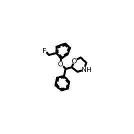 FCc1ccccc1OC(c1ccccc1)C1CNCCO1